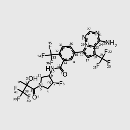 CC(O)(C(=O)N1C[C@H](F)[C@H](NC(=O)c2cc(-c3cc(C(F)(F)F)c4c(N)ncnn34)ccc2C(F)(F)F)C1)C(F)(F)F